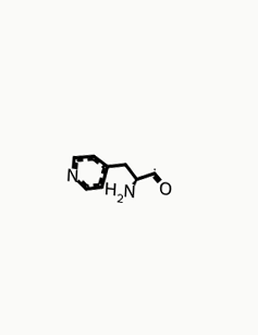 N[C@H]([C]=O)Cc1ccncc1